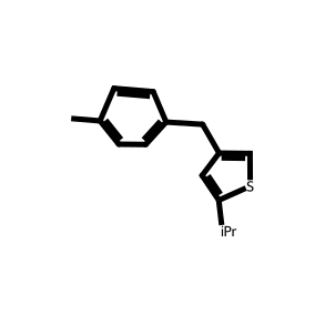 Cc1ccc(Cc2csc(C(C)C)c2)cc1